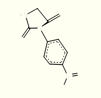 O=C1CNC(=O)N1c1ccc([N+](=O)[O-])cc1